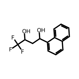 OC(CC(O)C(F)(F)F)c1cccc2ccccc12